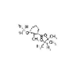 [2H]C([2H])([2H])Oc1cccc(B2OC(C)(C)C(C)(C)O2)c1C